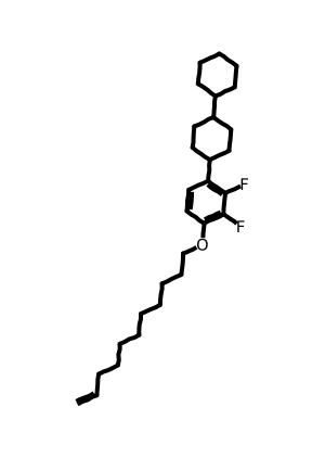 C=CCCCCCCCCCOc1ccc(C2CCC(C3CCCCC3)CC2)c(F)c1F